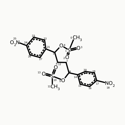 CS(=O)(=O)OC(CCC(OS(C)(=O)=O)c1ccc([N+](=O)[O-])cc1)c1ccc([N+](=O)[O-])cc1